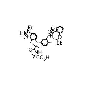 CC[C@@H]1CN(Cc2cc([C@@H](c3ccc4c(c3C)N(C)NN4CC)C(C)(C)C(=O)NC(C)(C)C(=O)O)ccc2C)S(=O)(=O)c2ccccc2O1